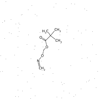 C=NOCOC(=O)C(C)(C)C